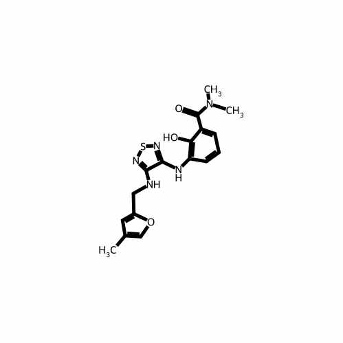 Cc1coc(CNc2nsnc2Nc2cccc(C(=O)N(C)C)c2O)c1